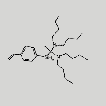 C=Cc1ccc([SiH2]C(C)(N(CCCC)CCCC)N(CCCC)CCCC)cc1